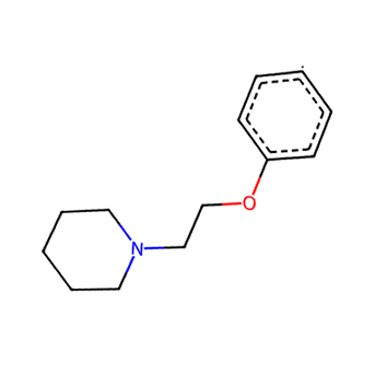 [c]1ccc(OCCN2CCCCC2)cc1